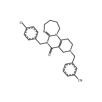 N#Cc1cccc(CN2CCC3=C(C2)C(=O)N(Cc2ccc(Cl)cc2)C2=NCCCCN23)c1